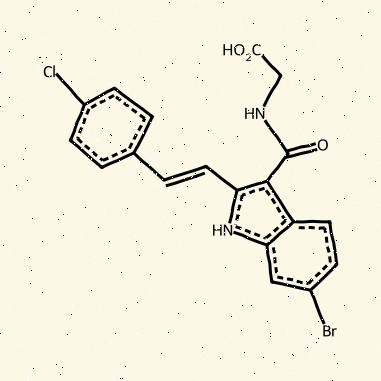 O=C(O)CNC(=O)c1c(/C=C/c2ccc(Cl)cc2)[nH]c2cc(Br)ccc12